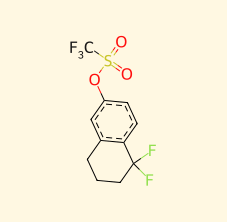 O=S(=O)(Oc1ccc2c(c1)CCCC2(F)F)C(F)(F)F